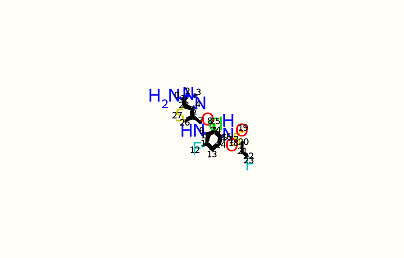 Nc1ncnc2c(C(=O)Nc3c(F)ccc(NS(=O)(=O)CCCF)c3Cl)csc12